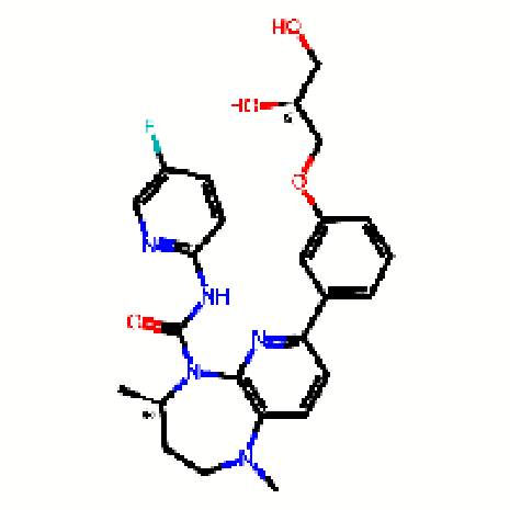 C[C@@H]1CCN(C)c2ccc(-c3cccc(OC[C@@H](O)CO)c3)nc2N1C(=O)Nc1ccc(F)cn1